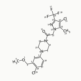 COCc1cc(N2CCN(C(=O)Cn3nc(C(F)(F)F)c(Cl)c3C)CC2)ccc1Cl